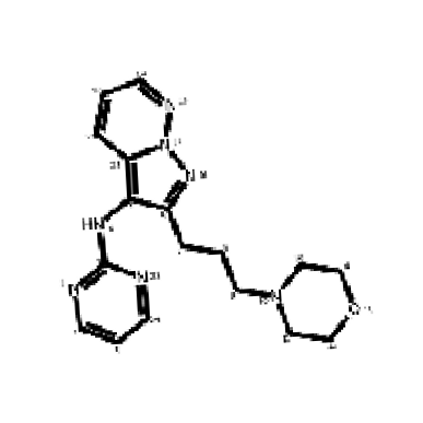 c1cnc(Nc2c(CCCN3CCOCC3)nn3ncccc23)nc1